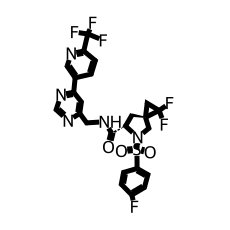 O=C(NCc1cc(-c2ccc(C(F)(F)F)nc2)ncn1)[C@@H]1C[C@@]2(CN1S(=O)(=O)c1ccc(F)cc1)CC2(F)F